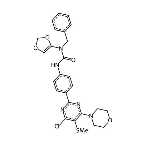 CSc1c(Cl)nc(-c2ccc(NC(=O)N(Cc3ccccc3)C3=COCO3)cc2)nc1N1CCOCC1